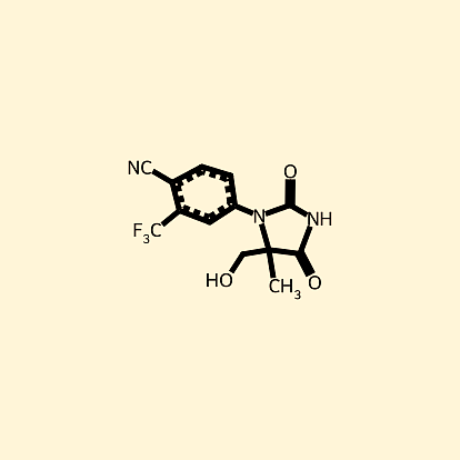 CC1(CO)C(=O)NC(=O)N1c1ccc(C#N)c(C(F)(F)F)c1